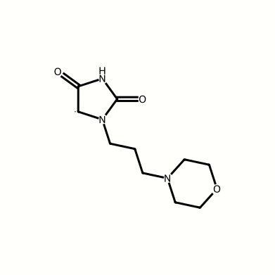 O=C1[CH]N(CCCN2CCOCC2)C(=O)N1